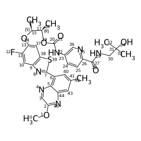 COc1cnc2c(-c3nc4cc(F)c(O[C@@H](C)[C@@H](C)OC(=O)Nc5ccc(C(=O)NCC(C)(C)O)nc5)cc4s3)cc(C)cc2n1